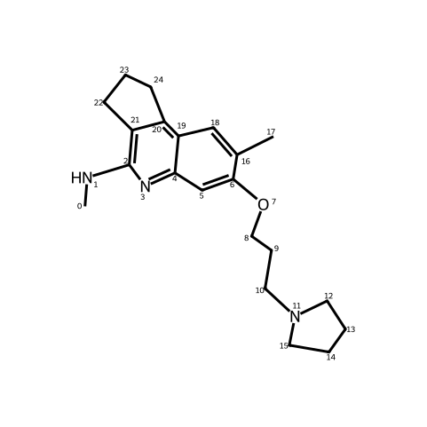 CNc1nc2cc(OCCCN3CCCC3)c(C)cc2c2c1CCC2